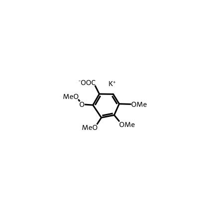 COOc1c(C(=O)[O-])cc(OC)c(OC)c1OC.[K+]